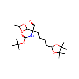 CC1OC(C(C=O)(CCCCB2OC(C)(C)C(C)(C)O2)NC(=O)OC(C)(C)C)O1